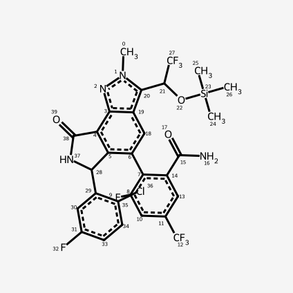 Cn1nc2c3c(c(-c4c(F)cc(C(F)(F)F)cc4C(N)=O)cc2c1C(O[Si](C)(C)C)C(F)(F)F)C(c1cc(F)ccc1Cl)NC3=O